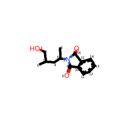 CC(CO)CC(C)N1C(=O)c2ccccc2C1=O